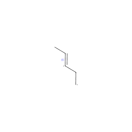 [CH2]C/[C]=C/C